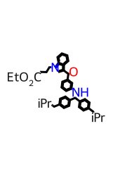 CCOC(=O)CCCn1cc(C(=O)c2cccc(NC(c3ccc(CC(C)C)cc3)c3ccc(CC(C)C)cc3)c2)c2ccccc21